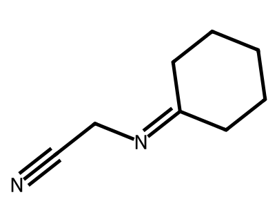 N#CCN=C1CCCCC1